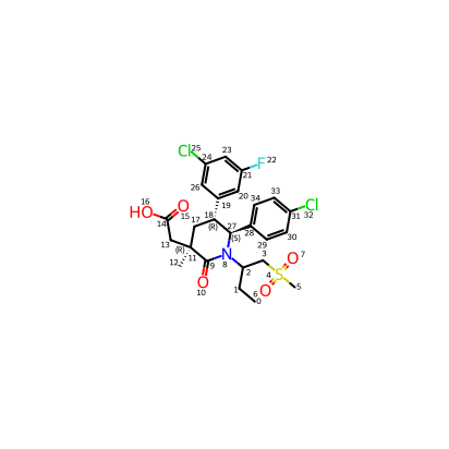 CCC(CS(C)(=O)=O)N1C(=O)[C@@](C)(CC(=O)O)C[C@H](c2cc(F)cc(Cl)c2)[C@H]1c1ccc(Cl)cc1